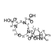 C=C(Nc1ccc(C[C@H]2CN(CC(=O)O)CCN(CC(=O)O)CCOCCN2CC(=O)O)cc1)C(C)C